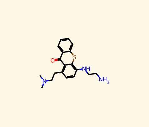 CN(C)CCc1ccc(NCCN)c2sc3ccccc3c(=O)c12